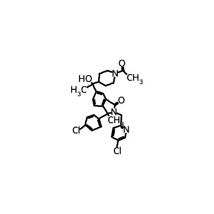 CC(=O)N1CCC(C(C)(O)c2ccc3c(c2)C(=O)N(Cc2ccc(Cl)cn2)C3(C)c2ccc(Cl)cc2)CC1